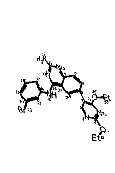 CCOc1ncc(-c2ccc3nc(N)nc(Nc4cccc(Br)c4)c3c2)c(OCC)n1